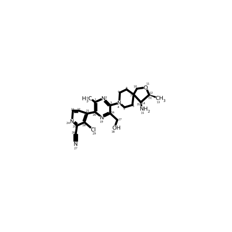 Cc1nc(N2CCC3(CC2)CO[C@@H](C)[C@H]3N)c(CO)nc1-c1ccnc(C#N)c1Cl